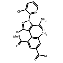 CNC(=O)c1cc(C(N)=S)cc(C)c1-c1c(Br)nn(-c2ncccc2Cl)c1C(N)=O